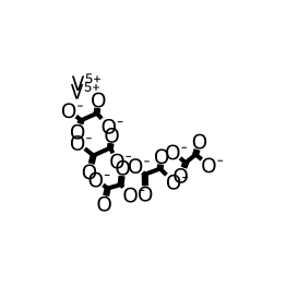 O=C([O-])C(=O)[O-].O=C([O-])C(=O)[O-].O=C([O-])C(=O)[O-].O=C([O-])C(=O)[O-].O=C([O-])C(=O)[O-].[V+5].[V+5]